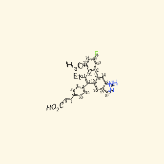 CCC(=C(c1ccc(C=CC(=O)O)cc1)c1ccc2[nH]ncc2c1)c1ccc(F)cc1C